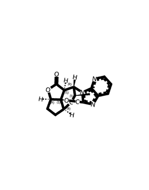 C[C@H]1C[C@H]2CC[C@H]3OC(=O)[C@H]4[C@@H]1n1c(nc5cccnc51)CO[C@]234